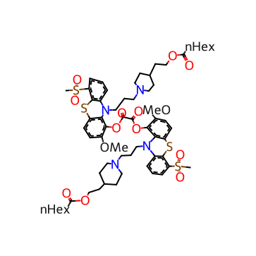 CCCCCCC(=O)OCCC1CCN(CCCN2c3cccc(S(C)(=O)=O)c3Sc3ccc(OC)c(OC(=O)C(=O)Oc4c(OC)ccc5c4N(CCCN4CCC(CCOC(=O)CCCCCC)CC4)c4cccc(S(C)(=O)=O)c4S5)c32)CC1